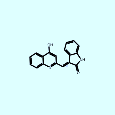 O=C1Nc2ccccc2/C1=C\c1cc(O)c2ccccc2n1